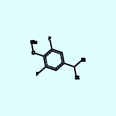 CCC(CC)c1cc(F)c(OC(C)(C)C)c(F)c1